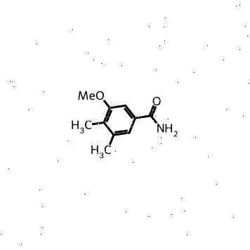 COc1cc(C(N)=O)cc(C)c1C